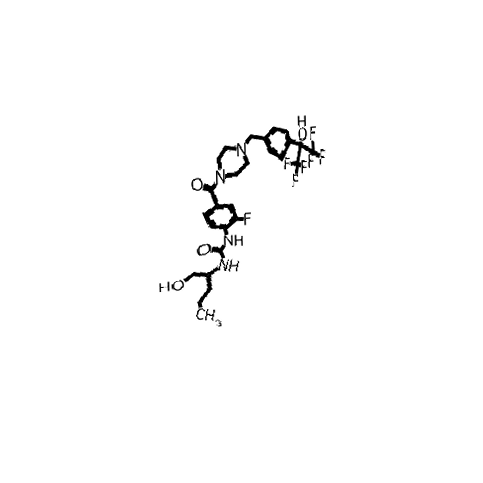 CCCC(CO)NC(=O)Nc1ccc(C(=O)N2CCN(Cc3ccc(C(O)(C(F)(F)F)C(F)(F)F)cc3)CC2)cc1F